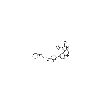 Cn1c(=O)n(C2=CC=C2)c2c3cc(-c4ccc(OCCCN5CCCCC5)nc4)ccc3ncc21